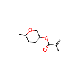 C=C(C)C(=O)OC1CCC(C)OC1